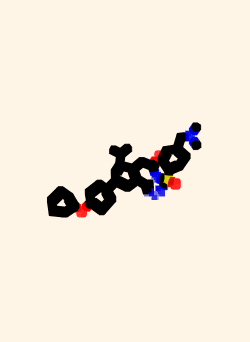 CC(C)c1cc(-c2ccc(Oc3ccccc3)cc2)cc(C(C)C)c1CC(=O)N=S(N)(=O)c1ccc(CN(C)C)cc1